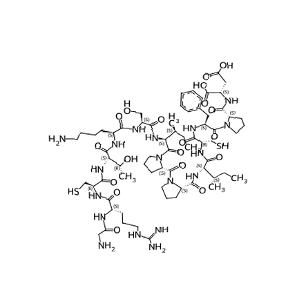 CC[C@H](C)[C@H](NC(=O)[C@@H]1CCCN1C(=O)[C@@H]1CCCN1C(=O)[C@@H](NC(=O)[C@H](CO)NC(=O)[C@H](CCCCN)NC(=O)[C@@H](NC(=O)[C@H](CS)NC(=O)[C@H](CCCNC(=N)N)NC(=O)CN)[C@@H](C)O)[C@@H](C)CC)C(=O)N[C@@H](CS)C(=O)N[C@@H](Cc1ccccc1)C(=O)N1CCC[C@H]1C(=O)N[C@@H](CC(=O)O)C(=O)O